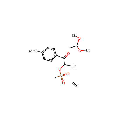 C=C.CCOC(C)OCC.COc1ccc(C(=O)C(OS(C)(=O)=O)C(C)C)cc1